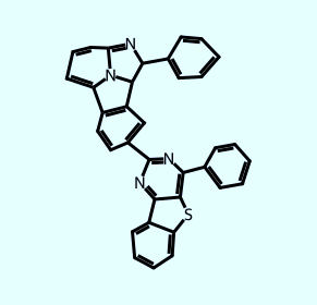 C1=CC2=NC(c3ccccc3)C3c4cc(-c5nc(-c6ccccc6)c6sc7ccccc7c6n5)ccc4C(=C1)N23